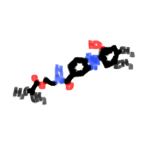 C=C(C)C(=O)OCCNC(=O)c1ccc2c(c1)n1n(-c3cc(C)c(C)cc3O)n21